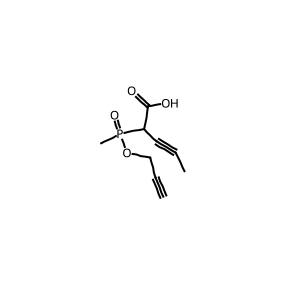 C#CCOP(C)(=O)C(C#CC)C(=O)O